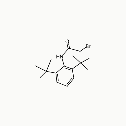 CC(C)(C)c1cccc(C(C)(C)C)c1NC(=O)CBr